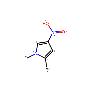 CC(=O)c1cc([N+](=O)O)cn1C